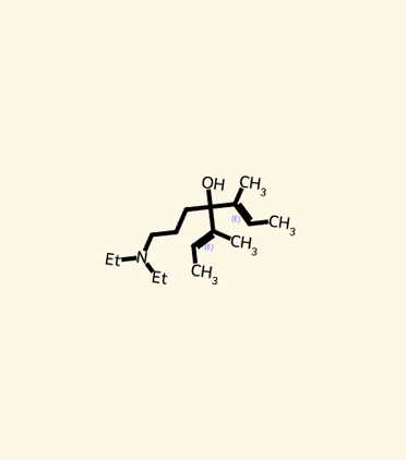 C/C=C(\C)C(O)(CCCN(CC)CC)/C(C)=C/C